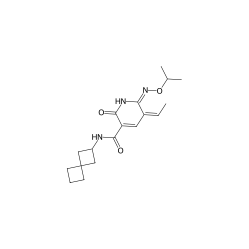 C/C=C1/C=C(C(=O)NC2CC3(CCC3)C2)C(=O)N/C1=N/OC(C)C